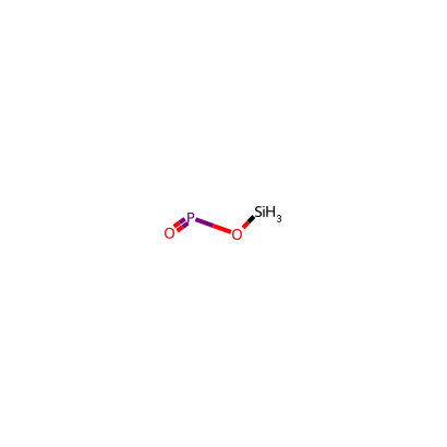 O=PO[SiH3]